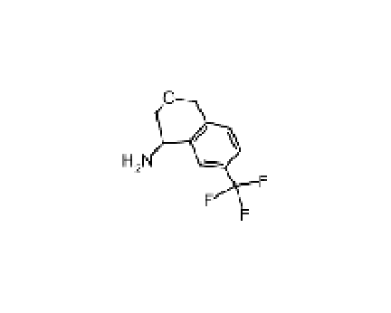 NC1COCc2ccc(C(F)(F)F)cc21